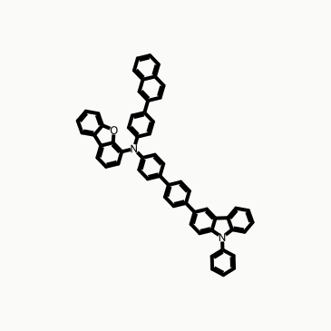 c1ccc(-n2c3ccccc3c3cc(-c4ccc(-c5ccc(N(c6ccc(-c7ccc8ccccc8c7)cc6)c6cccc7c6oc6ccccc67)cc5)cc4)ccc32)cc1